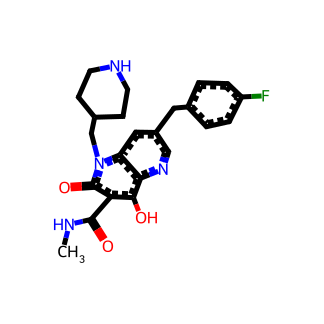 CNC(=O)c1c(O)c2ncc(Cc3ccc(F)cc3)cc2n(CC2CCNCC2)c1=O